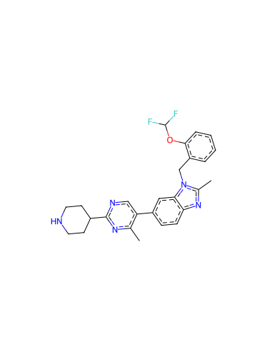 Cc1nc(C2CCNCC2)ncc1-c1ccc2nc(C)n(Cc3ccccc3OC(F)F)c2c1